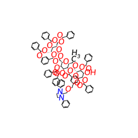 CC(OC[C@H]1O[C@@H](OCCOCC2N(c3ccccc3)CCN2c2ccccc2)[C@H](OC(=O)c2ccccc2)[C@@H](O)[C@@H]1OC(=O)c1ccccc1)[C@@H]1O[C@H](COCO[C@H](COC(=O)c2ccccc2)[C@@H](OC(=O)c2ccccc2)[C@@H](COC(=O)c2ccccc2)OC(=O)c2ccccc2)[C@@H](OC(=O)c2ccccc2)[C@H](OC(=O)c2ccccc2)[C@H]1OC(=O)c1ccccc1